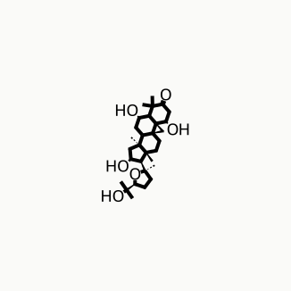 CC1(C)C(=O)C[C@H](O)[C@]23C[C@]24CC[C@]2(C)[C@@H]([C@@]5(C)CC[C@@H](C(C)(C)O)O5)[C@@H](O)C[C@@]2(C)C4C[C@H](O)C13